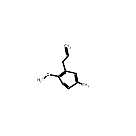 C=CCc1cc(C)ccc1OC